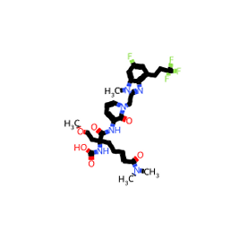 COCCC(CC/C=C/C(=O)N(C)C)(NC(=O)O)C(=O)Nc1cccn(Cc2nc3c(CCC(F)(F)F)cc(F)cc3n2C)c1=O